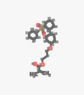 C=C(C)C(=O)OCCCOc1ccc(-c2ccccc2S(=O)(=O)c2ccccc2)cc1